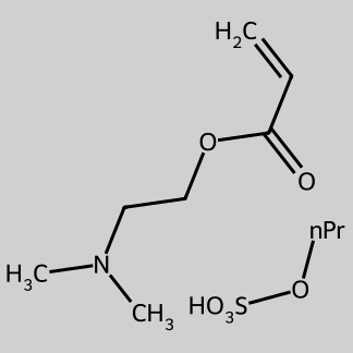 C=CC(=O)OCCN(C)C.CCCOS(=O)(=O)O